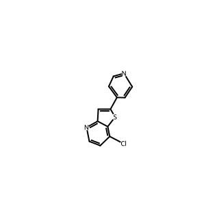 Clc1ccnc2cc(-c3ccncc3)sc12